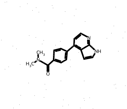 CN(C)C(=O)c1ccc(-c2ccnc3[nH]ccc23)cc1